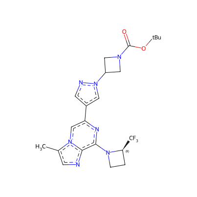 Cc1cnc2c(N3CC[C@@H]3C(F)(F)F)nc(-c3cnn(C4CN(C(=O)OC(C)(C)C)C4)c3)cn12